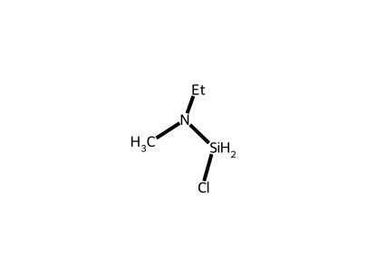 CCN(C)[SiH2]Cl